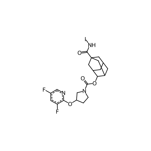 O=C(OC1C2CC3CC1CC(C(=O)NI)(C3)C2)N1CCC(Oc2ncc(F)cc2F)C1